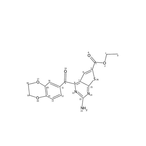 CCOC(=O)c1cc2c(C(=O)c3ccc4c(c3)OCCO4)nc(N)nc2s1